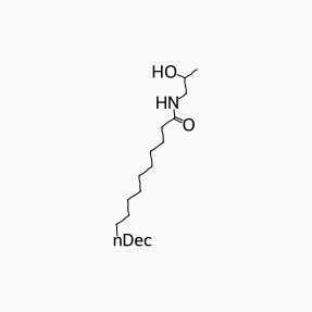 CCCCCCCCCCCCCCCCCCCC(=O)NCC(C)O